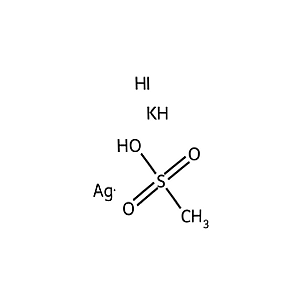 CS(=O)(=O)O.I.[Ag].[KH]